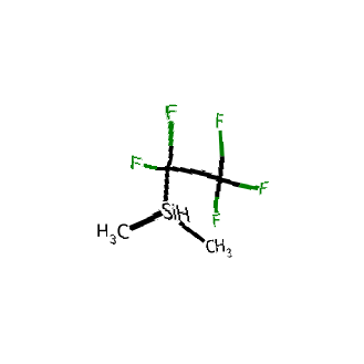 C[SiH](C)C(F)(F)C(F)(F)F